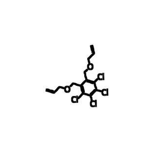 C=CCOCc1c(Cl)c(Cl)c(Cl)c(Cl)c1COCC=C